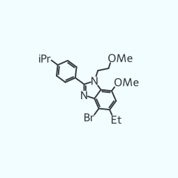 CCc1cc(OC)c2c(nc(-c3ccc(C(C)C)cc3)n2CCOC)c1Br